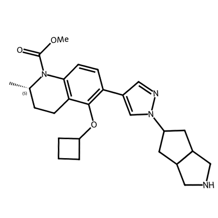 COC(=O)N1c2ccc(-c3cnn(C4CC5CNCC5C4)c3)c(OC3CCC3)c2CC[C@@H]1C